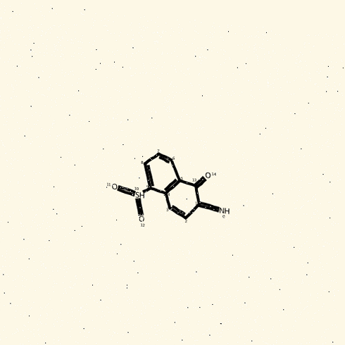 N=C1C=Cc2c(cccc2[SH](=O)=O)C1=O